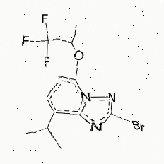 CC(C)c1ccc(OC(C)C(F)(F)F)n2nc(Br)nc12